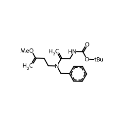 C=C(CCN(Cc1ccccc1)C(=C)CNC(=O)OC(C)(C)C)OC